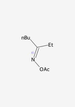 CCCC/C(CC)=N/OC(C)=O